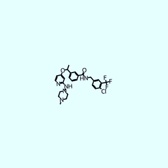 CC(Oc1ccnc(NN2CCN(C)CC2)c1)c1cccc(C(=O)NCc2ccc(Cl)c(C(F)(F)F)c2)c1